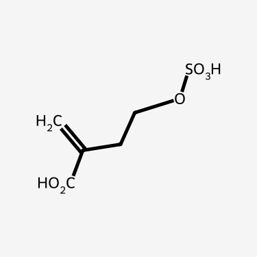 C=C(CCOS(=O)(=O)O)C(=O)O